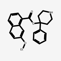 CCOc1ccc2cccc(C(=O)OC3(c4ccccc4)CCNCC3)c2c1